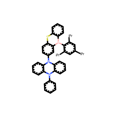 CC(C)c1cc(C(C)C)c(B2c3ccccc3Sc3ccc(N4c5ccccc5N(c5ccccc5)c5ccccc54)cc32)c(C(C)C)c1